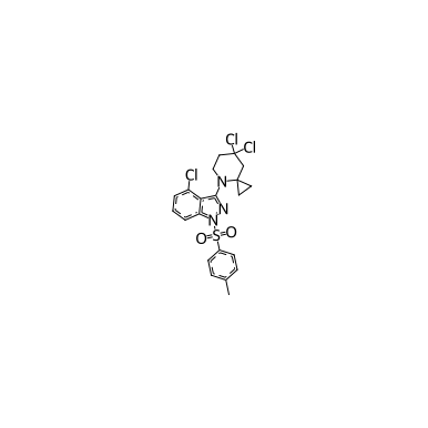 Cc1ccc(S(=O)(=O)n2nc(N3CCC(Cl)(Cl)CC34CC4)c3c(Cl)cccc32)cc1